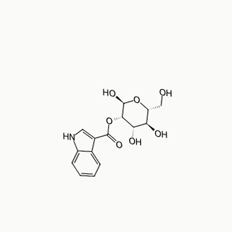 O=C(O[C@H]1[C@@H](O)[C@H](O)[C@@H](CO)O[C@@H]1O)c1c[nH]c2ccccc12